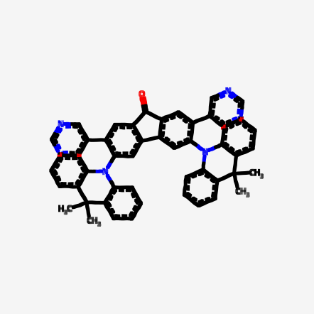 CC1(C)c2ccccc2N(c2cc3c(cc2-c2cncnc2)C(=O)c2cc(-c4cncnc4)c(N4c5ccccc5C(C)(C)c5ccccc54)cc2-3)c2ccccc21